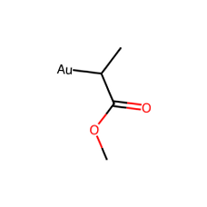 COC(=O)[CH](C)[Au]